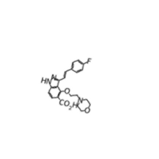 O=C(O)c1ccc2[nH]nc(C=Cc3ccc(F)cc3)c2c1OCCN1CCOCC1